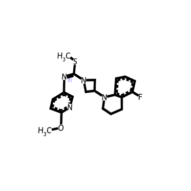 COc1ccc(/N=C(/SC)N2CC(N3CCCc4c(F)cccc43)C2)cn1